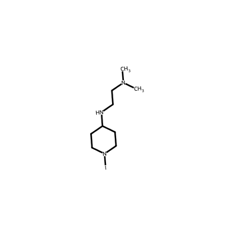 CN(C)CCNC1CCN(I)CC1